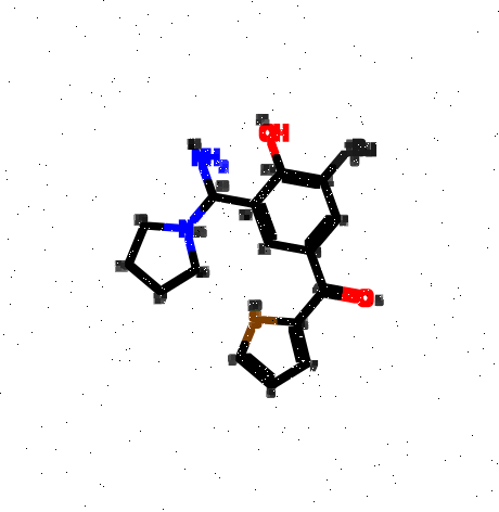 CC(C)(C)c1cc(C(=O)c2cccs2)cc(C(N)N2CCCC2)c1O